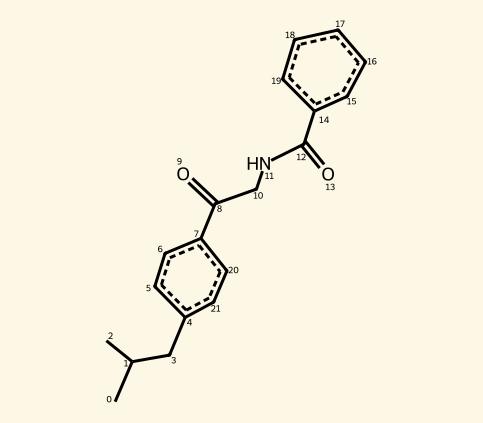 CC(C)Cc1ccc(C(=O)CNC(=O)c2ccccc2)cc1